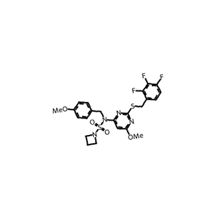 COc1ccc(CN(c2cc(OC)nc(SCc3ccc(F)c(F)c3F)n2)S(=O)(=O)N2CCC2)cc1